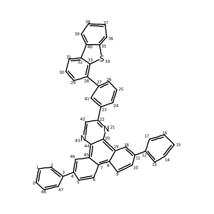 c1ccc(-c2ccc3c4ccc(-c5ccccc5)cc4c4nc(-c5cccc(-c6cccc7c6sc6ccccc67)c5)cnc4c3c2)cc1